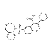 O=c1[nH]c2ccccc2c(=O)n1-c1cc(S(=O)(=O)N2CCSCc3ccccc32)ccc1Cl